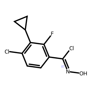 O/N=C(\Cl)c1ccc(Cl)c(C2CC2)c1F